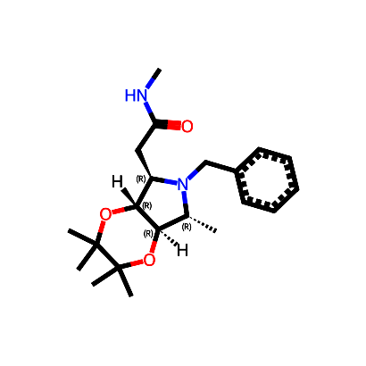 CNC(=O)C[C@@H]1[C@H]2OC(C)(C)C(C)(C)O[C@@H]2[C@@H](C)N1Cc1ccccc1